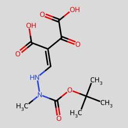 CN(NC=C(C(=O)O)C(=O)C(=O)O)C(=O)OC(C)(C)C